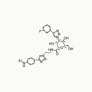 CCNc1ccc(-c2cn(CCNC(=O)[C@@H]3O[C@H](CO)[C@H](O)[C@H](n4cc(-c5cccc(F)c5)nn4)[C@H]3O)nn2)cc1